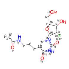 O=C(NCCCc1cn([C@@H]2O[C@H](CO)C(O)[C@@H]2F)c(=O)[nH]c1=O)C(F)(F)F